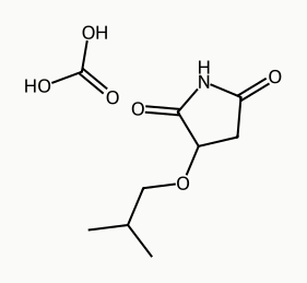 CC(C)COC1CC(=O)NC1=O.O=C(O)O